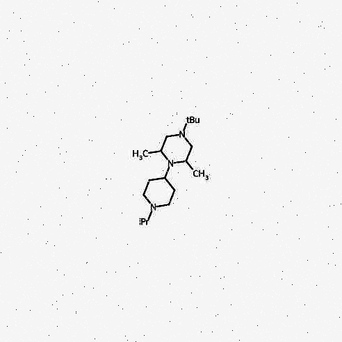 CC(C)N1CCC(N2C(C)CN(C(C)(C)C)CC2C)CC1